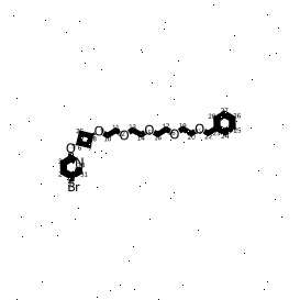 Brc1ccc(O[C@H]2C[C@H](OCCOCCOCCOCCOCc3ccccc3)C2)nc1